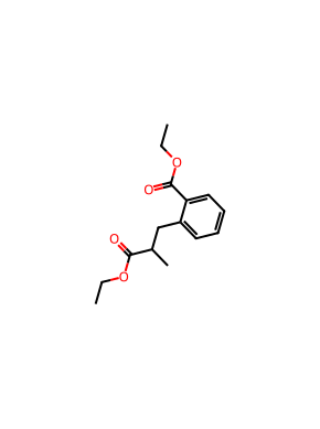 CCOC(=O)c1ccccc1CC(C)C(=O)OCC